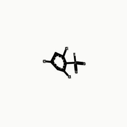 O=S(=O)(F)c1c(Cl)cc(Cl)cc1Cl